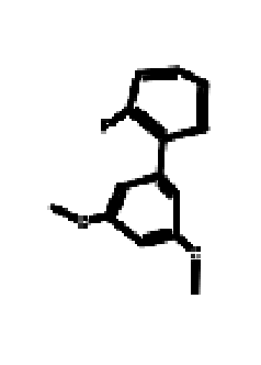 COc1cc(OC)cc(-c2[c]cccc2F)c1